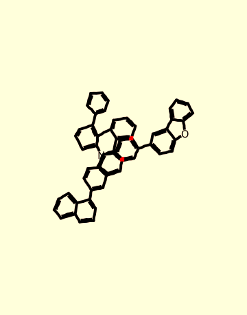 c1ccc(-c2ccccc2-c2c(-c3ccccc3)cccc2N(c2ccc(-c3ccc4oc5ccccc5c4c3)cc2)c2ccc(-c3cccc4ccccc34)cc2)cc1